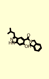 CC(C)Cc1n[nH]c2cc(O)c(C(=O)N3Cc4ccccc4C3)cc12